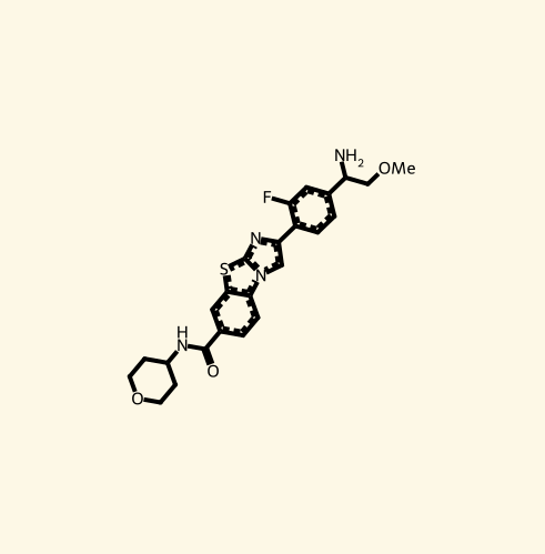 COCC(N)c1ccc(-c2cn3c(n2)sc2cc(C(=O)NC4CCOCC4)ccc23)c(F)c1